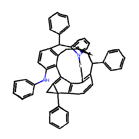 c1ccc(Nc2ccc3c4c2C2=C5CC5(c5ccccc5)c5ccc(c(c52)C[n+]2ccccc2C3c2ccccc2)C(c2ccccc2)c2ccccc2C4)cc1